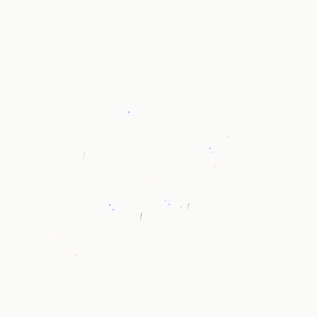 CN(C)C(=O)Sc1ccc(Cc2ccccc2)cc1[N+](=O)[O-].O=C(O)C1CN(Cc2ccc(-c3nc4cc(Cc5ccccc5)ccc4s3)c(F)c2)C1